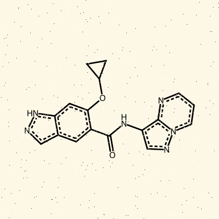 O=C(Nc1cnn2cccnc12)c1cc2cn[nH]c2cc1OC1CC1